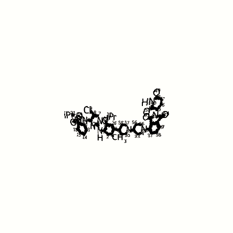 Cc1cc(Nc2ncc(Cl)c(Nc3ccccc3S(=O)(=O)C(C)C)n2)c(OC(C)C)cc1C1CCN(C2CCN(c3cccc4c3C(=O)N(C3CCC(=O)NC3=O)C4=O)CC2)CC1